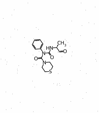 C[C@@H]([C]=O)NC(=O)N(C(=O)N1CCSCC1)c1ccccc1